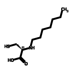 CCCCCCCN[C@@H](CS)C(=O)O